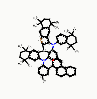 Cc1cc2c3c(c1)N(c1ccc4c(c1)C(C)(C)CCC4(C)C)c1c(sc4cc5c(cc14)C(C)(C)CCC5(C)C)B3c1cc3c(cc1N2c1ccc(C(C)(C)C)cc1-c1cccc2c1ccc1ccccc12)C(C)(C)CCC3(C)C